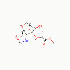 COC(=O)[C@@H](C)OC1C(NC(C)=O)[C@@H]2OCC(O2)[C@H]1O